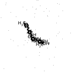 CN1CCN(CCc2ccc(NC(=O)c3ccc4nc(-c5ccc(C(C)(C)O)cc5)[nH]c4c3)cc2)CC1